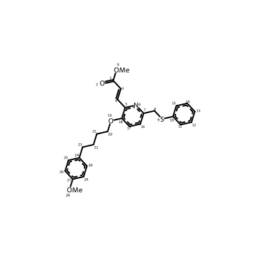 COC(=O)/C=C/c1nc(CSc2ccccc2)ccc1OCCCCc1ccc(OC)cc1